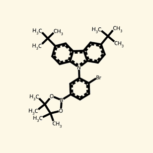 CC(C)(C)c1ccc2c(c1)c1cc(C(C)(C)C)ccc1n2-c1cc(B2OC(C)(C)C(C)(C)O2)ccc1Br